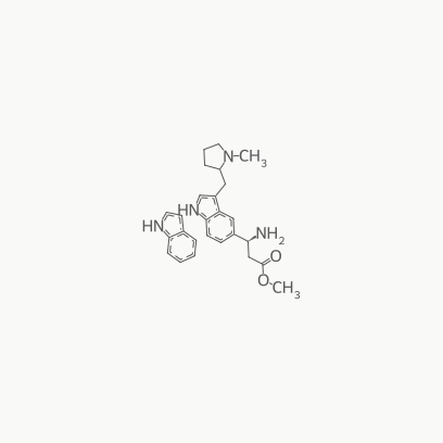 COC(=O)C[C@H](N)c1ccc2[nH]cc(CC3CCCN3C)c2c1.c1ccc2[nH]ccc2c1